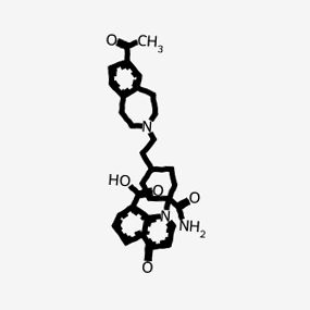 CC(=O)c1ccc2c(c1)CCN(CCC1CCC(C(N)=O)(n3ccc(=O)c4cccc(C(=O)O)c43)CC1)CC2